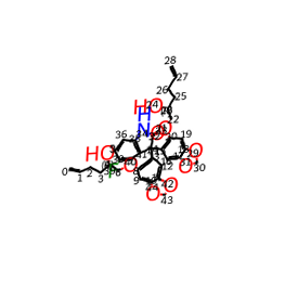 C=CCC[C@@H](O)COc1cc2c(cc1C1(c3cc4c(cc3OC[C@H](O)CCC=C)OCO4)C(=O)Nc3ccc(F)cc31)OCO2